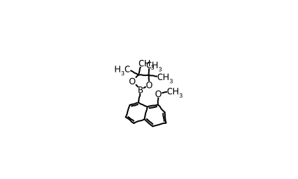 COc1cccc2cccc(B3OC(C)(C)C(C)(C)O3)c12